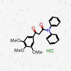 COc1cc(C(=O)CC(=O)N(c2ccccc2)c2ccccc2)cc(OC)c1OC.Cl